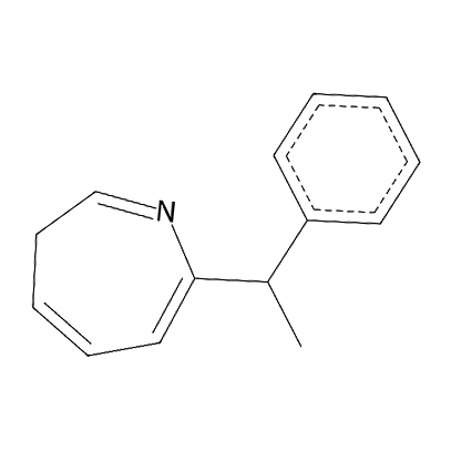 CC(C1=CC=CCC=N1)c1ccccc1